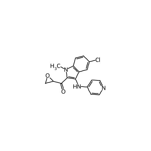 Cn1c(C(=O)C2CO2)c(Nc2ccncc2)c2cc(Cl)ccc21